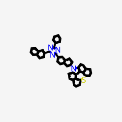 c1ccc(-c2nc(-c3ccc4ccccc4c3)nc(-c3ccc4cc(-n5c6ccc7cccc8sc9cccc%10ccc5c(c%109)c6c78)ccc4c3)n2)cc1